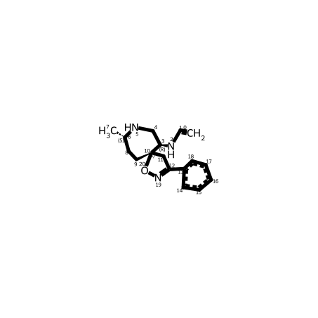 C=CN[C@@H]1CN[C@@H](C)CC[C@]12CC(c1ccccc1)=NO2